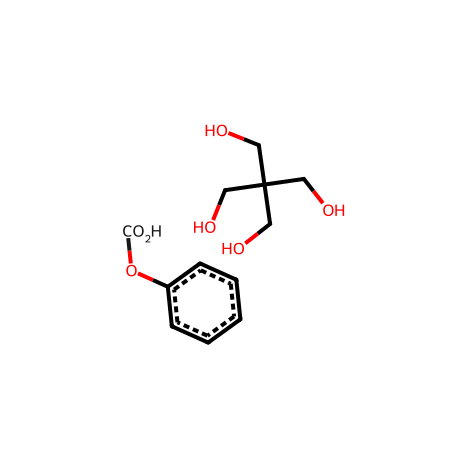 O=C(O)Oc1ccccc1.OCC(CO)(CO)CO